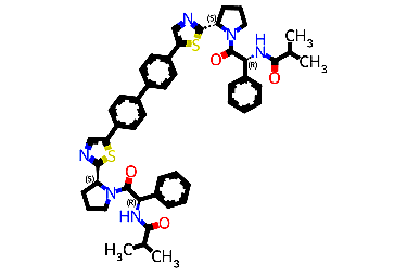 CC(C)C(=O)N[C@@H](C(=O)N1CCC[C@H]1c1ncc(-c2ccc(-c3ccc(-c4cnc([C@@H]5CCCN5C(=O)[C@H](NC(=O)C(C)C)c5ccccc5)s4)cc3)cc2)s1)c1ccccc1